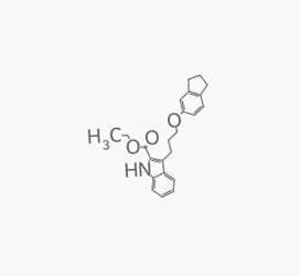 CCOC(=O)c1[nH]c2ccccc2c1CCCOc1ccc2c(c1)CCC2